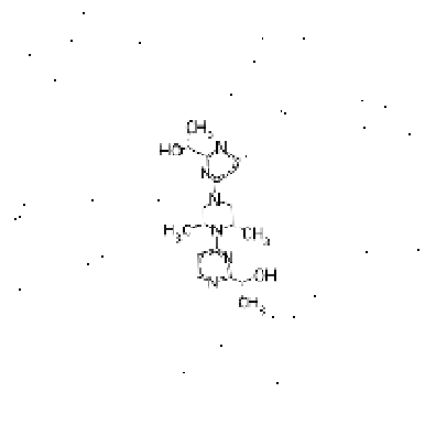 C[C@@H](O)c1nccc(N2C[C@H](C)N(c3ccnc([C@@H](C)O)n3)[C@@H](C)C2)n1